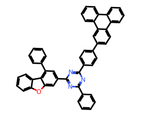 c1ccc(-c2nc(-c3ccc(-c4ccc5c6ccccc6c6ccccc6c5c4)cc3)nc(-c3cc(-c4ccccc4)c4c(c3)oc3ccccc34)n2)cc1